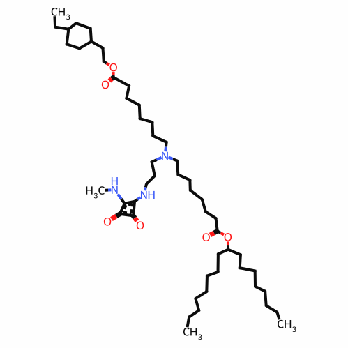 CCCCCCCCC(CCCCCCCC)OC(=O)CCCCCCCN(CCCCCCCC(=O)OCCC1CCC(CC)CC1)CCCNc1c(NC)c(=O)c1=O